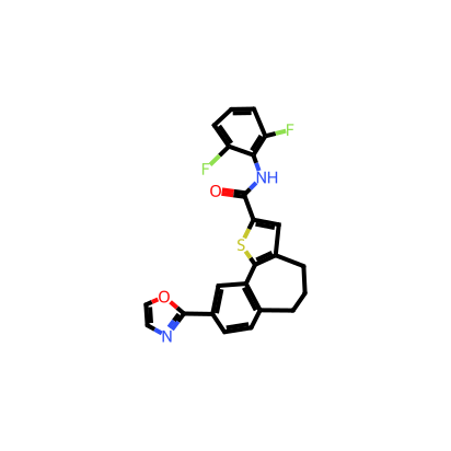 O=C(Nc1c(F)cccc1F)c1cc2c(s1)-c1cc(-c3ncco3)ccc1CCC2